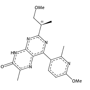 COC[C@@H](C)c1nc(-c2ccc(OC)nc2C)c2nc(C)c(=O)[nH]c2n1